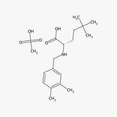 CS(=O)(=O)O.Cc1ccc(CN[C@@H](CCC(C)(C)C)C(=O)O)cc1C